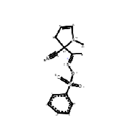 C/C(=N\OS(=O)(=O)c1ccccc1)C1(C#N)CC=CN1C